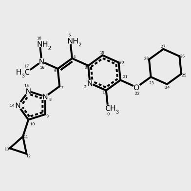 Cc1nc(/C(N)=C(\Cn2cc(C3CC3)nn2)N(C)N)ccc1OC1CCCCC1